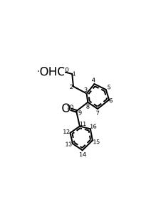 O=[C]CCc1ccccc1C(=O)c1ccccc1